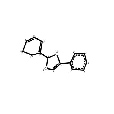 [c]1cccc(C2=COC(C3=CC=CCC3)O2)c1